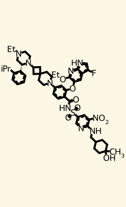 CCOc1nc2[nH]cc(F)c2cc1Oc1cc(N2CCC3(CC2)CC(N2CCN(CC)C[C@H]2c2ccccc2C(C)C)C3)ccc1C(=O)NS(=O)(=O)c1cnc(NCC2CCC(C)(O)CC2)c([N+](=O)[O-])c1